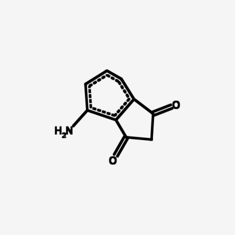 Nc1cccc2c1C(=O)CC2=O